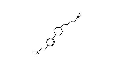 CCCc1ccc(C2CCC(CCC=CC#N)CC2)cc1